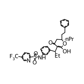 CCC[C@@]1(CCc2ccccc2)CC(=O)C([C@@H](CC)c2cccc(NS(=O)(=O)c3ccc(C(F)(F)F)cn3)c2)=C(O)O1